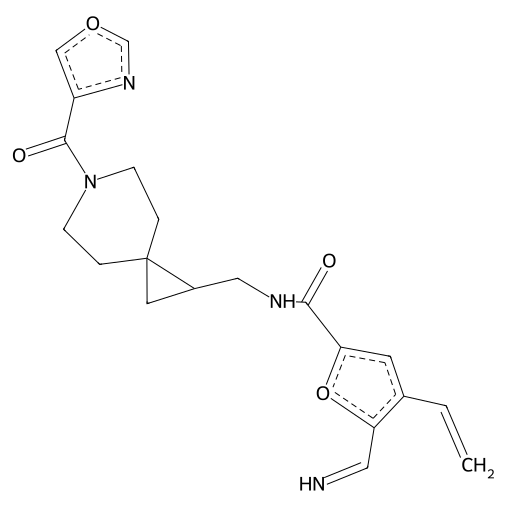 C=Cc1cc(C(=O)NCC2CC23CCN(C(=O)c2cocn2)CC3)oc1C=N